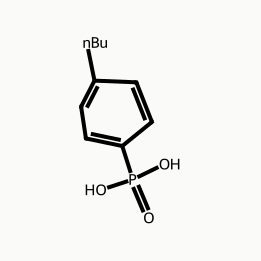 CCCCc1ccc(P(=O)(O)O)cc1